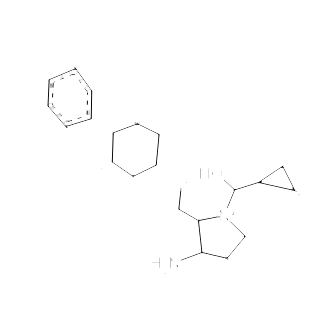 NC1CCN(C(O)C2CC2)C1CO[C@H]1CC[C@@H](c2ccccc2)CC1